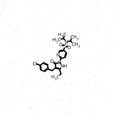 CCc1[nH]n(-c2ccc(S(=O)(=O)N(C(C)C)C(C)C)cn2)c(=O)c1Cc1ccc(Cl)cc1